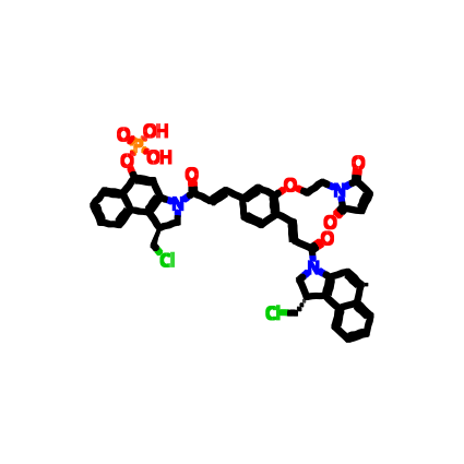 O=C1C=CC(=O)N1CCOc1cc(/C=C/C(=O)N2C[C@@H](CCl)c3c2cc(OP(=O)(O)O)c2ccccc32)ccc1/C=C/C(=O)N1C[C@@H](CCl)c2c1c[c]c1ccccc21